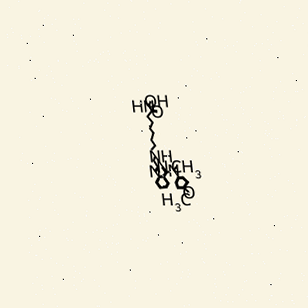 COc1ccc(N(C)c2nc(CNCCCCCCCC(=O)NO)nc3ccccc23)cc1